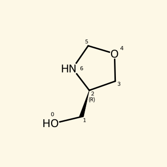 OC[C@@H]1COCN1